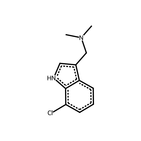 CN(C)Cc1c[nH]c2c(Cl)cccc12